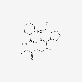 CC(CSC(=O)C(C)NC(=O)C1CCCCC1)C(=O)N1CCC[C@H]1C(=O)O